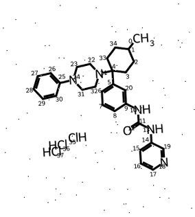 CC1CCC(c2cccc(NC(=O)Nc3cccnc3)c2)(N2CCN(c3ccccc3)CC2)CC1.Cl.Cl.Cl